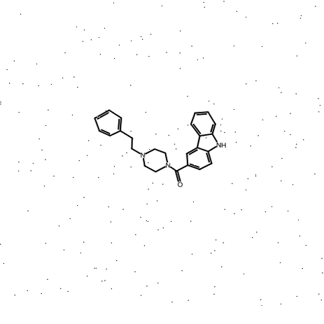 O=C(c1ccc2[nH]c3ccccc3c2c1)N1CCN(CCc2ccccc2)CC1